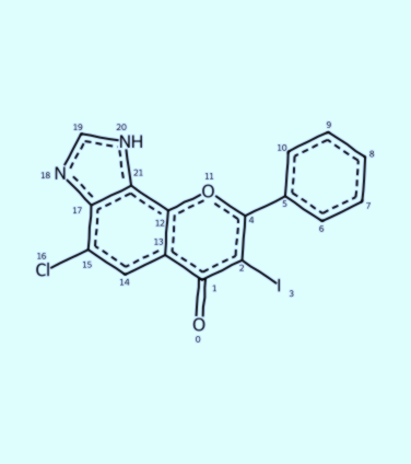 O=c1c(I)c(-c2ccccc2)oc2c1cc(Cl)c1nc[nH]c12